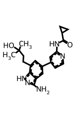 CC(C)(O)CCc1cc(-c2ccnc(NC(=O)C3CC3)c2)cc2c(N)n[nH]c12